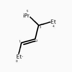 C[CH]C=CC(CC)C(C)C